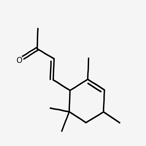 CC(=O)/C=C/C1C(C)=CC(C)CC1(C)C